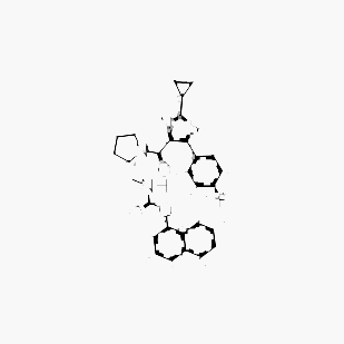 O=C(NC[C@@H]1CCCN1C(=O)c1nc(C2CC2)sc1-c1ccc(F)cc1)Oc1cccc2ccccc12